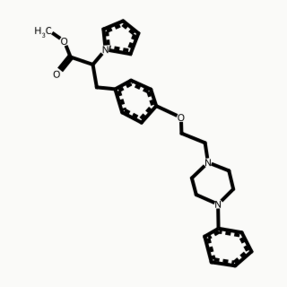 COC(=O)C(Cc1ccc(OCCN2CCN(c3ccccc3)CC2)cc1)n1cccc1